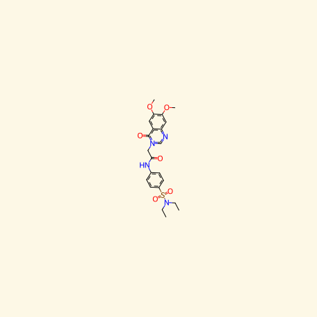 CCN(CC)S(=O)(=O)c1ccc(NC(=O)Cn2cnc3cc(OC)c(OC)cc3c2=O)cc1